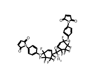 CC(C)(C1(F)C=CC(F)(Oc2ccc(N3C(=O)C=CC3=O)cc2)C(F)(F)C1(F)F)C1(F)C=CC(F)(Oc2ccc(N3C(=O)C=CC3=O)cc2)C(F)(F)C1(F)F